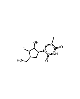 O=c1[nH]c(=O)n(C2CC(CO)C(F)C2O)cc1I